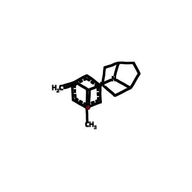 C=CC(=O)N1CC2CCC(C1)N2c1cccc(C)c1